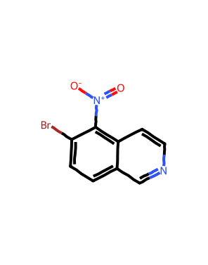 O=[N+]([O-])c1c(Br)ccc2cnccc12